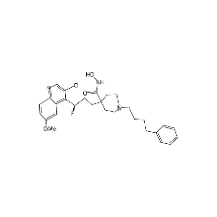 COc1ccc2ncc(Cl)c([C@H](F)CCC3(C(=O)NO)CCN(CCCCc4ccccc4)CC3)c2c1